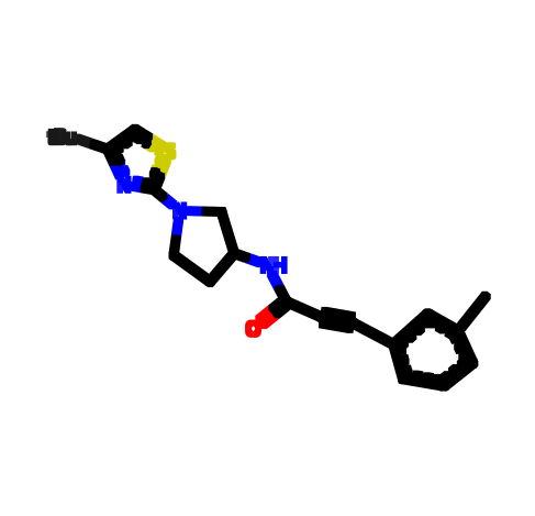 Cc1cccc(C#CC(=O)NC2CCN(c3nc(C(C)(C)C)cs3)C2)c1